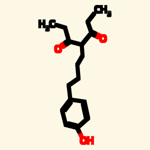 CCC(=O)C(CCCCc1ccc(O)cc1)C(=O)CC